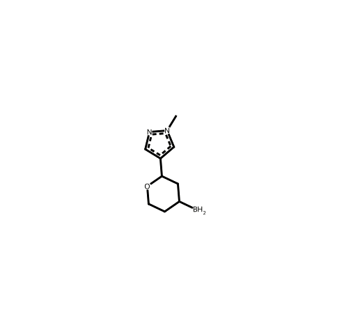 BC1CCOC(c2cnn(C)c2)C1